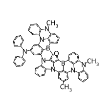 Cc1cc2c3c(c1)N1c4ccccc4N4c5cc(N(c6ccccc6)c6ccccc6)cc6c5B(c5cccc7c5N6c5ccccc5N7C)c5oc(c1c54)B3c1cccc3c1N2c1ccccc1N3C